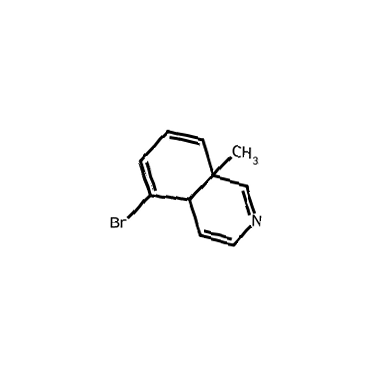 CC12C=CC=C(Br)C1C=CN=C2